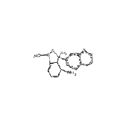 CC1(c2ccc3ccnnc3c2)OB(O)C2=CC=CC(N)C21